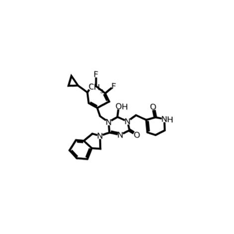 CC(/C=C(\C=C(\F)CF)CN1C(N2Cc3ccccc3C2)=NC(=O)N(CC2=CCCNC2=O)C1O)C1CC1